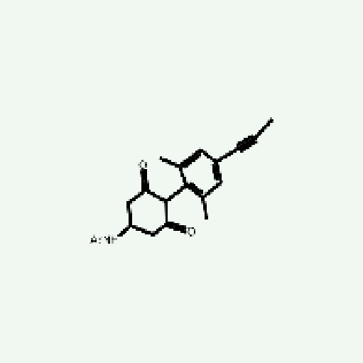 CC#Cc1cc(C)c(C2C(=O)CC(NC(C)=O)CC2=O)c(C)c1